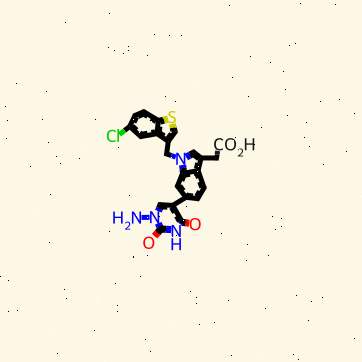 Nn1cc(-c2ccc3c(CC(=O)O)cn(Cc4csc5ccc(Cl)cc45)c3c2)c(=O)[nH]c1=O